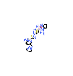 Nc1ccccc1NC(=O)c1ccc(Nc2ncc(-c3cnc4ccc(CN5CCCC5)cn34)s2)s1